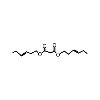 CC/C=C/CCOC(=O)CC(=O)OCC/C=C/CC